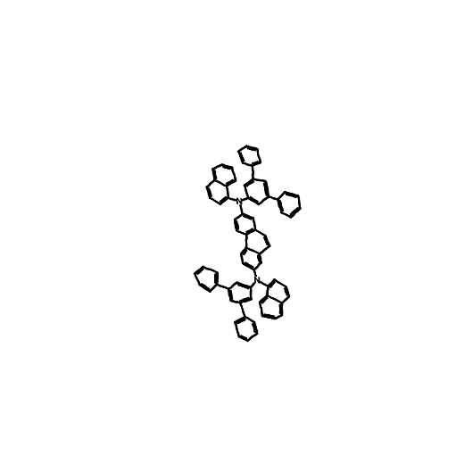 c1ccc(-c2cc(-c3ccccc3)cc(N(c3ccc4c(ccc5cc(N(c6cc(-c7ccccc7)cc(-c7ccccc7)c6)c6cccc7ccccc67)ccc54)c3)c3cccc4ccccc34)c2)cc1